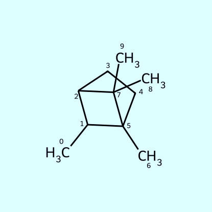 CC1C2CCC1(C)C2(C)C